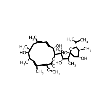 CO/C1=C\C(C)=C\[C@@H](C)[C@@H](O)[C@@H](C)C/C(C)=C/C=C/[C@H](O)C([C@@H](C)[C@@H](O)[C@H](C)[C@@]2(O)C[C@@H](O)[C@H](C)[C@@H](C(C)C)O2)OC1=O